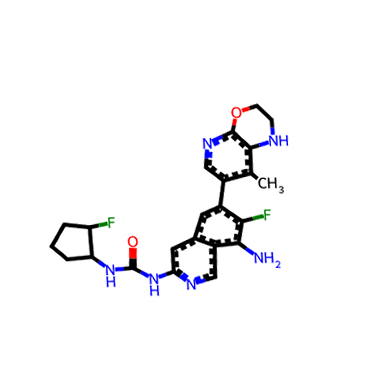 Cc1c(-c2cc3cc(NC(=O)NC4CCCC4F)ncc3c(N)c2F)cnc2c1NCCO2